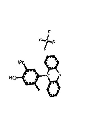 Cc1cc(O)c(C(C)C)cc1[S+]1c2ccccc2Sc2ccccc21.F[B-](F)(F)F